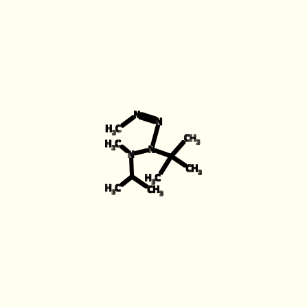 C/N=N\N(N(C)C(C)C)C(C)(C)C